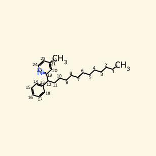 CCCCCCCCCCCCC(c1ccccc1)c1cc(C)ccn1